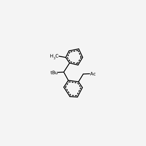 CC(=O)Cc1ccccc1C(c1ccccc1C)C(C)(C)C